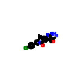 C[C@H]1OCc2c1c(N)nc1ccc(C(=O)N3C[C@@H](c4ccc(Cl)cc4)C[C@@H]3C3CC3)cc21